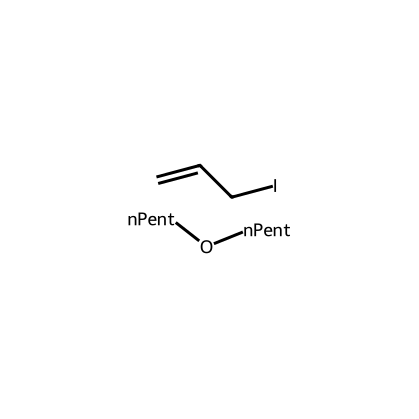 C=CCI.CCCCCOCCCCC